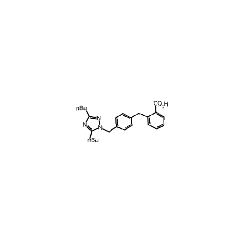 CCCCc1nc(CCCC)n(Cc2ccc(Cc3ccccc3C(=O)O)cc2)n1